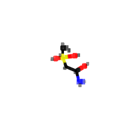 CS(=O)(=O)CC([NH])=O